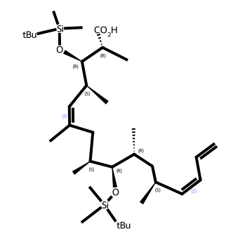 C=C/C=C\[C@@H](C)C[C@@H](C)[C@@H](O[Si](C)(C)C(C)(C)C)[C@@H](C)C/C(C)=C\[C@H](C)[C@@H](O[Si](C)(C)C(C)(C)C)[C@@H](C)C(=O)O